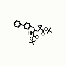 CC(C)(C)OC(=O)N[C@@H](Cc1ccc(-c2ccccc2)cc1)CC1(C(=O)OC(C)(C)C)CC1